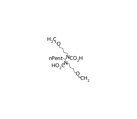 C=COCCCCN(C(=O)O)C(CCCCC)N(CCCCOC=C)C(=O)O